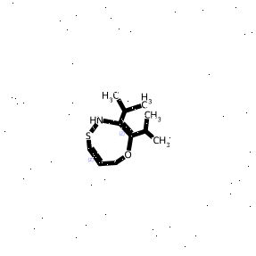 CC(C)/C1=C(\C(C)C)OC/C=C\SN1